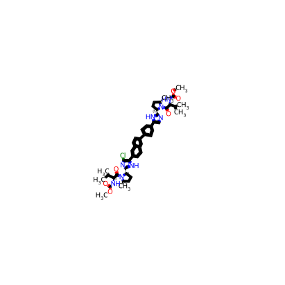 COC(=O)N[C@H](C(=O)N1[C@@H](C)CC[C@H]1c1ncc(-c2ccc(-c3ccc4cc(-c5[nH]c([C@@H]6CC[C@H](C)N6C(=O)[C@@H](NC(=O)OC)C(C)C)nc5Cl)ccc4c3)cc2)[nH]1)C(C)C